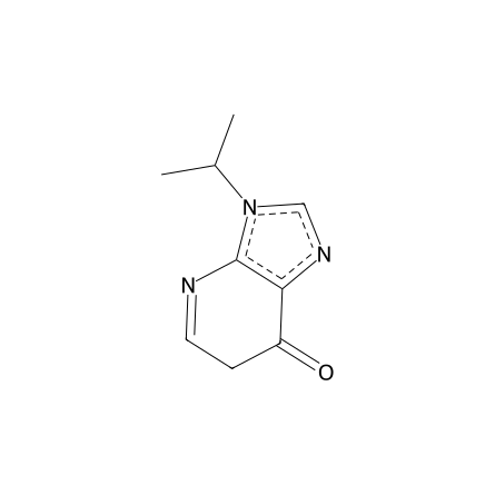 CC(C)n1cnc2c1N=CCC2=O